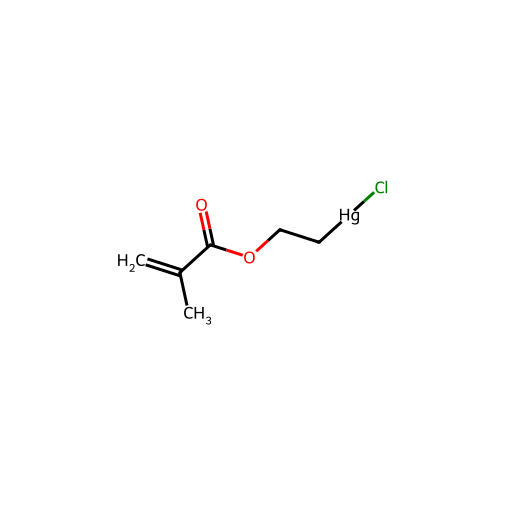 C=C(C)C(=O)OC[CH2][Hg][Cl]